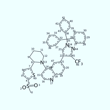 CS(=O)(=O)c1ccc(C2C[CH]CCN2c2ccnc3ccc(-c4cn(C(c5ccccc5)(c5ccccc5)c5ccccc5)nc4C(F)(F)F)cc23)s1